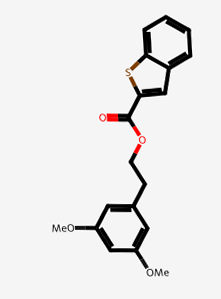 COc1cc(CCOC(=O)c2cc3ccccc3s2)cc(OC)c1